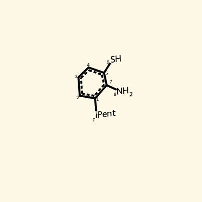 CCCC(C)c1cccc(S)c1N